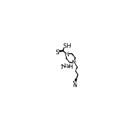 N#CCCCN1CCN(C(=S)S)CC1.[NaH]